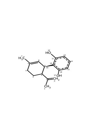 C=C(C)C1CCC(C)=C[C@H]1c1c(O)cccc1O